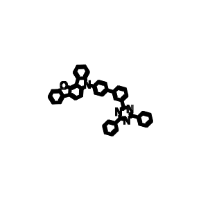 c1ccc(-c2nc(-c3ccccc3)nc(-c3cccc(-c4ccc(-n5c6ccccc6c6c7oc8ccccc8c7ccc65)cc4)c3)n2)cc1